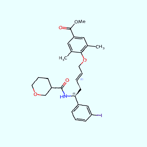 COC(=O)c1cc(C)c(OC/C=C/C[C@H](NC(=O)C2CCCOC2)c2cccc(I)c2)c(C)c1